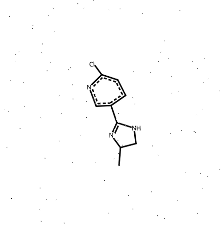 CC1CNC(c2ccc(Cl)nc2)=N1